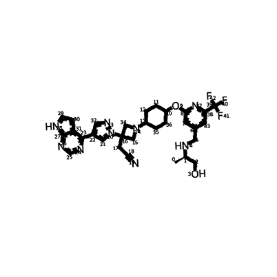 C[C@H](CO)NCc1cc(OC2CCC(N3CC(CC#N)(n4cc(-c5ncnc6[nH]ccc56)cn4)C3)CC2)nc(C(F)(F)F)c1